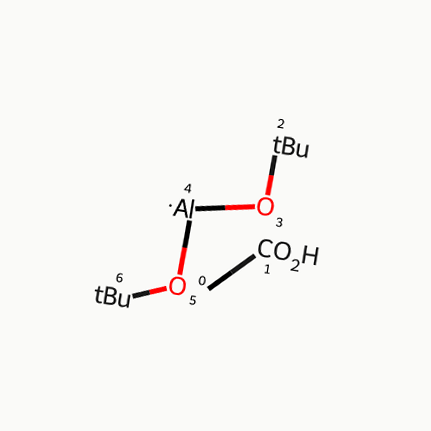 CC(=O)O.CC(C)(C)[O][Al][O]C(C)(C)C